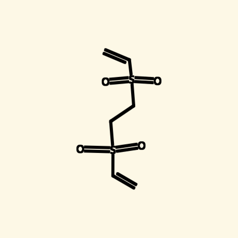 C=CS(=O)(=O)CCS(=O)(=O)C=C